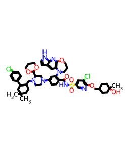 CC1(C)CCC(CN2CCN(c3ccc(C(=O)NS(=O)(=O)c4cnc(OCC5CCC(C)(O)CC5)c(Cl)c4)c(N4CCCOc5nc6[nH]ccc6cc54)c3)CC2C2OCCCO2)=C(c2ccc(Cl)cc2)C1